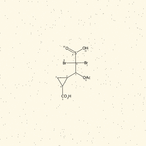 CC(=O)OC(C1CC1C(=O)O)C(Br)(Br)S(=O)O